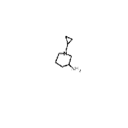 NC1CCCN(C2CC2)C1